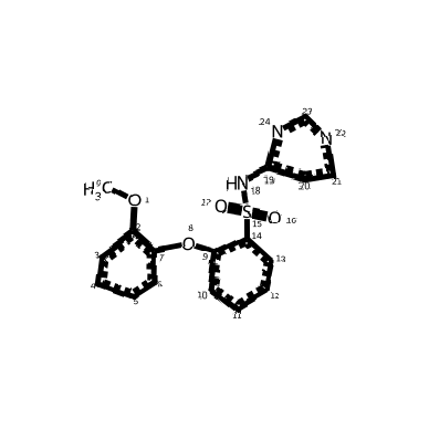 COc1ccccc1Oc1ccccc1S(=O)(=O)Nc1ccncn1